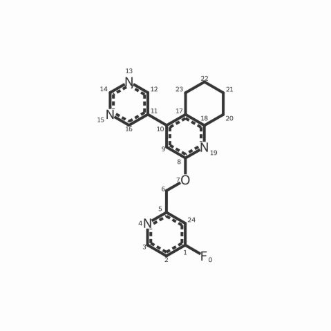 Fc1ccnc(COc2cc(-c3cncnc3)c3c(n2)CCCC3)c1